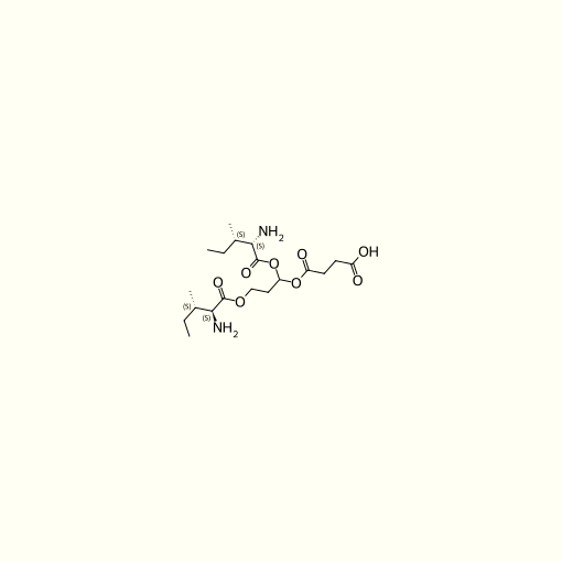 CC[C@H](C)[C@H](N)C(=O)OCCC(OC(=O)CCC(=O)O)OC(=O)[C@@H](N)[C@@H](C)CC